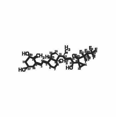 C=C1/C(=C\C=C2/CCC[C@]3(C)[C@@H]([C@H](C)/C=C/[C@H](O)C4(C(=O)C(F)(F)C(F)(F)C(F)(F)F)CC4)CC[C@@H]23)C[C@@H](O)C[C@@H]1O